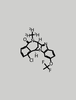 [2H]C([2H])([2H])N1C(=O)c2cccc(Cl)c2[C@H]2C[C@@H]1c1nc3ccc(OC(C)(F)F)cc3n12